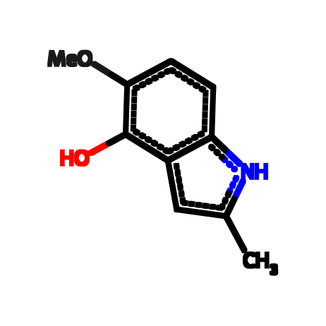 COc1ccc2[nH]c(C)cc2c1O